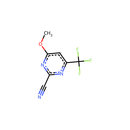 COc1[c]c(C(F)(F)F)nc(C#N)n1